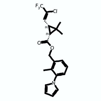 Cc1c(COC(=O)[C@@H]2[C@H](C=C(Cl)C(F)(F)F)C2(C)C)cccc1-n1cccc1